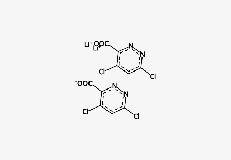 O=C([O-])c1nnc(Cl)cc1Cl.O=C([O-])c1nnc(Cl)cc1Cl.[Li+].[Li+]